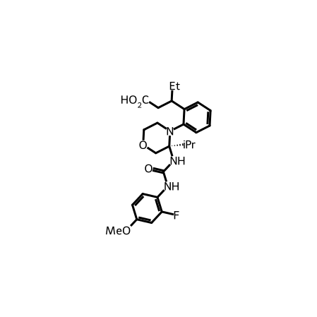 CCC(CC(=O)O)c1ccccc1N1CCOC[C@@]1(NC(=O)Nc1ccc(OC)cc1F)C(C)C